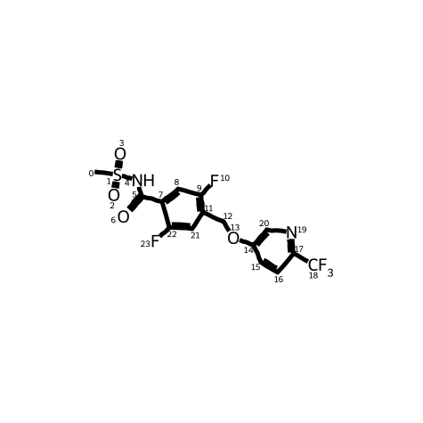 CS(=O)(=O)NC(=O)c1cc(F)c(COc2ccc(C(F)(F)F)nc2)cc1F